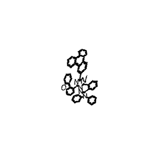 c1ccc(-n2c(-c3ccccc3-c3nc(-c4ccc5c6ccccc6c6ccccc6c5c4)nc(-c4cccc5oc6ccccc6c45)n3)nc3ccccc32)cc1